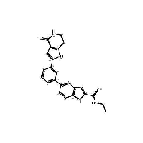 CCNC(=O)c1cc2cc(-c3cc(-c4cc5c([nH]4)CCNC5=O)ccn3)ccc2[nH]1